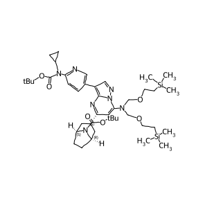 CC(C)(C)OC(=O)N(c1ccc(-c2cnn3c(N(COCC[Si](C)(C)C)COCC[Si](C)(C)C)cc([C@@H]4C[C@H]5CC[C@@H](C4)N5C(=O)OC(C)(C)C)nc23)cn1)C1CC1